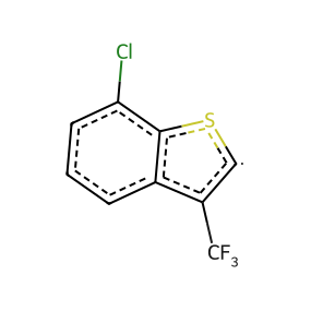 FC(F)(F)c1[c]sc2c(Cl)cccc12